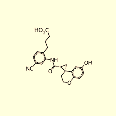 N#Cc1ccc(CCCC(=O)O)c(NC(=O)[C@@H]2C[C@]23CCOc2ccc(O)cc23)c1